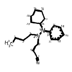 CCCCN(CCC#N)N(c1ccccc1)C1CCCCC1